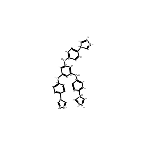 c1cc(-n2cnnc2)ccc1Oc1cc(Oc2ccc(-n3cnnc3)cc2)cc(Oc2ccc(-n3cnnc3)cc2)c1